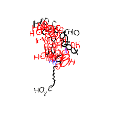 CC1O[C@@H](OC2C(O)[C@@H](NC(=O)CCCCCCCCCCC(=O)O)C(CO)O[C@H]2OC[C@@]23CCC(C)(C)C[C@]2(O)CC2(C)C(=CCC4C5(C)CC[C@H](O[C@@H]6OC(C(=O)O)[C@@H](O)C(O[C@@H]7OC[C@@H](O)C(O)C7O)C6O[C@@H]6OC(CO)[C@H](O)C(O)C6O)C(C)(C=O)C5CCC42C)C3I)C(O)C(O)[C@H]1O[C@@H]1OC[C@@H](O)C(O)C1O